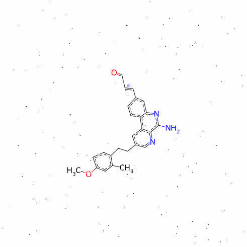 COc1ccc(CCc2cnc3c(N)nc4cc(/C=C/C=O)ccc4c3c2)c(C)c1